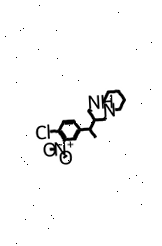 CC(c1ccc(Cl)c([N+](=O)[O-])c1)C(C=N)CN1CCCCC1